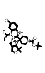 CC(C)(C)OC(=O)N1CCC(C(=O)Nc2ccc(Cl)cc2OC(F)F)(n2ncc3c2C(C)(C)OC3)CC1